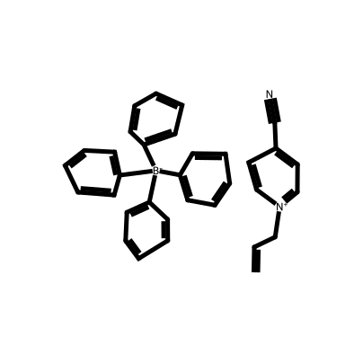 C=CC[n+]1ccc(C#N)cc1.c1ccc([B-](c2ccccc2)(c2ccccc2)c2ccccc2)cc1